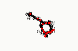 CC(C)C[C@H]1NC(=O)[C@@H](C)NC(=O)[C@@H](Cc2c[nH]cn2)NC(=O)[C@@H](NC(=O)COCCOCCOCCNC(=O)CCCCC2SC[C@H]3NC(=O)N[C@@H]23)Cc2cn(nn2)CCCC[C@@H](C(N)=O)NC(=O)[C@@H](Cc2c[nH]c3ccccc23)NC(=O)[C@@H](CC(C)C)NC1=O